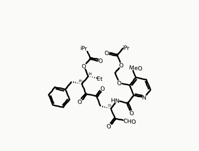 CC[C@@H](OC(=O)C(C)C)[C@@H](Cc1ccccc1)C(=O)C(=O)C[C@H](NC(=O)c1nccc(OC)c1OCOC(=O)C(C)C)C(=O)C=O